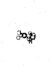 O=C1OCCc2ncn(-c3ccc(Cl)c(Cl)c3)c21